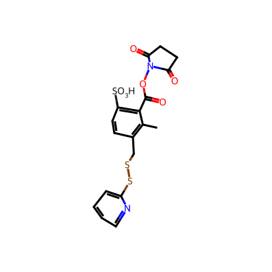 Cc1c(CSSc2ccccn2)ccc(S(=O)(=O)O)c1C(=O)ON1C(=O)CCC1=O